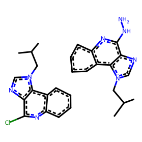 CC(C)Cn1cnc2c(Cl)nc3ccccc3c21.CC(C)Cn1cnc2c(NN)nc3ccccc3c21